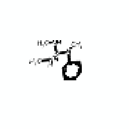 CN[SiH](NC)N(C)c1ccccc1